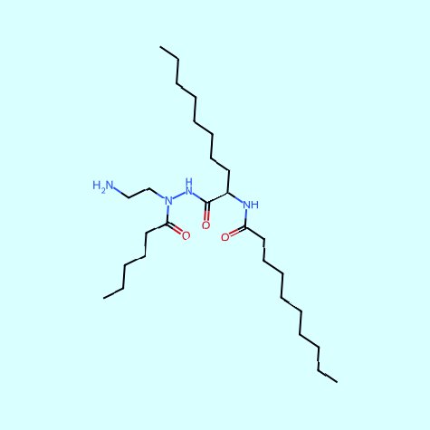 CCCCCCCCCC(=O)NC(CCCCCCCC)C(=O)NN(CCN)C(=O)CCCCC